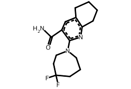 NC(=O)c1cc2c(nc1N1CCCC(F)(F)CC1)CCCC2